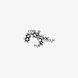 CC(C)(ON=C(C(=O)NC1C(=O)N2C(C(=O)[O-])=C(C[n+]3ccc4ccccc4c3)CS[C@@H]12)c1csc(N)n1)C(=O)O